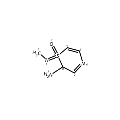 CN=S1(=O)C=CN=CC1N